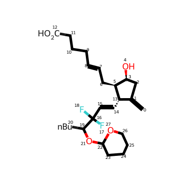 C=C1C[C@H](O)[C@H](CC=CCCCC(=O)O)[C@H]1C=CC(F)(F)C(CCCC)OC1CCCCO1